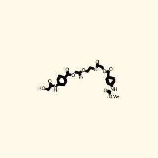 COC(=O)Nc1ccc(C(=O)OCC(=O)OCCOC(=O)COC(=O)c2ccc(NC(=O)CO)cc2)cc1